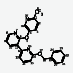 FC(F)(F)c1ccc(Oc2ncccc2-c2cccc(OCc3ccccc3)n2)cn1